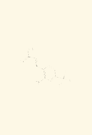 O=C(O)C=Cc1ccc(C(F)(F)F)cc1Cl